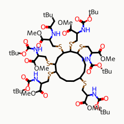 COC(=O)C(CSC1CC(SCC(NC(=O)OC(C)(C)C)C(=O)OC)C(SCC(NC(=O)OC(C)(C)C)C(=O)OC)CCCC(SCC(NC(=O)OC(C)(C)C)C(=O)OC)CCCC(SCC(NC(=O)OC(C)(C)C)C(=O)OC)C1SCC(NC(=O)OC(C)(C)C)C(=O)OC)NC(=O)CC(C)(C)C